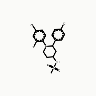 CS(=O)(=O)NC1CCN(c2ccc(Cl)cc2Cl)C(c2ccc(Cl)cc2)C1